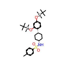 Cc1ccc(S(=O)(=O)N[C@H]2CC[C@@H](c3ccc(O[Si](C)(C)C(C)(C)C)cc3O[Si](C)(C)C(C)(C)C)CC2)cc1